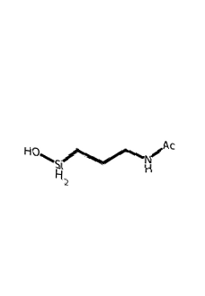 CC(=O)NCCC[SiH2]O